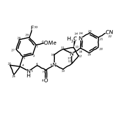 COc1cc(C2(NCC(=O)N3CC4C[C@H](C)C(C3)N4c3ccc(C#N)cn3)CC2)ccc1F